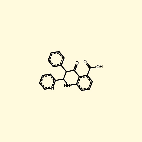 O=C(O)c1cccc2c1C(=O)C(c1ccccc1)C(c1ccccn1)N2